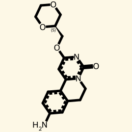 Nc1ccc2c(c1)CCn1c-2cc(OC[C@@H]2COCCO2)nc1=O